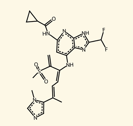 C=C(/C(=C\C=C(/C)c1cncn1C)Nc1cc(NC(=O)C2CC2)nc2[nH]c(C(F)F)nc12)S(C)(=O)=O